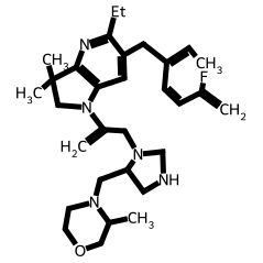 C=C(F)/C=C\C(=C/C)Cc1cc2c(nc1CC)C(C)(C)CN2C(=C)CN1CNCC1CN1CCOCC1C